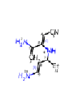 C=C(N)/C(=C/C#N)NC(/C=C/N)CC